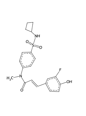 CN(C(=O)/C=C/c1ccc(O)c(F)c1)c1ccc(S(=O)(=O)NC2CCC2)cc1